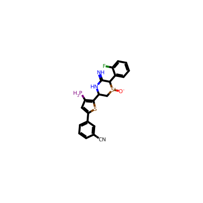 N#Cc1cccc(-c2cc(P)c(C3C[S+]([O-])C(c4ccccc4F)C(=N)N3)s2)c1